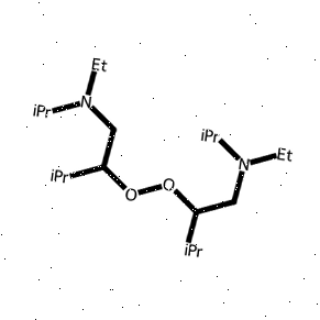 CCN(CC(OOC(CN(CC)C(C)C)C(C)C)C(C)C)C(C)C